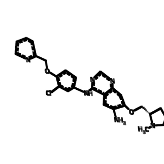 CN1CCC[C@H]1COc1cc2ncnc(Nc3ccc(OCc4ccccn4)c(Cl)c3)c2cc1N